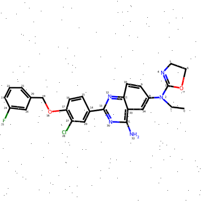 CCN(C1=NCCO1)c1ccc2nc(-c3ccc(OCc4cccc(F)c4)c(Cl)c3)nc(N)c2c1